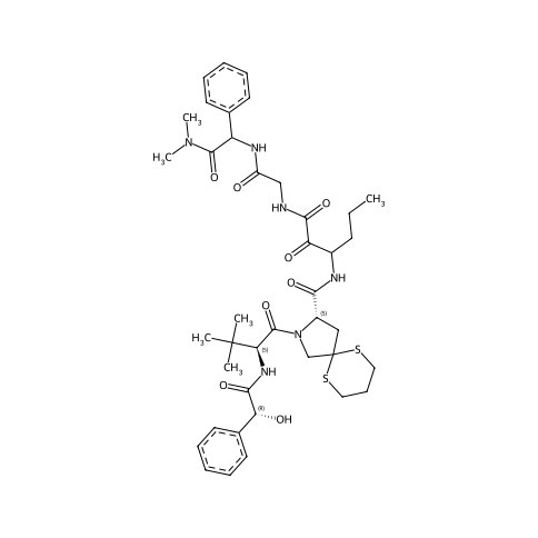 CCCC(NC(=O)[C@@H]1CC2(CN1C(=O)[C@@H](NC(=O)[C@H](O)c1ccccc1)C(C)(C)C)SCCCS2)C(=O)C(=O)NCC(=O)NC(C(=O)N(C)C)c1ccccc1